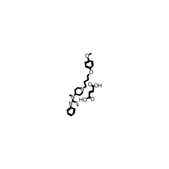 COc1ccc(OCCCCN2CCC(N(C)/C(=N/c3ccccc3)SC)CC2)cc1.O=C(O)/C=C/C(=O)O